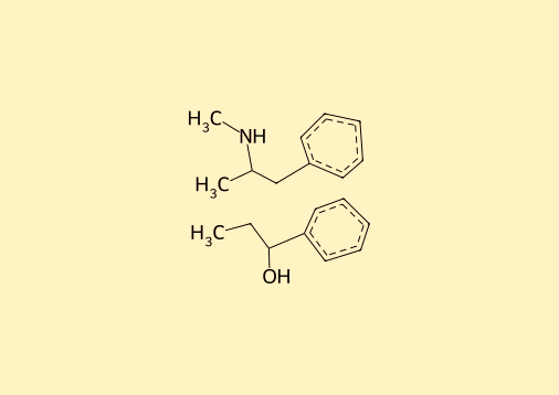 CCC(O)c1ccccc1.CNC(C)Cc1ccccc1